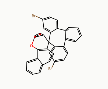 Brc1ccc2c(c1)C1(c3ccccc3Oc3c1ccc1ccccc31)c1cc(Br)ccc1-c1ccccc1-2